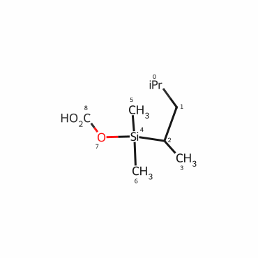 CC(C)CC(C)[Si](C)(C)OC(=O)O